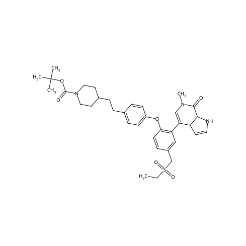 CCS(=O)(=O)Cc1ccc(Oc2ccc(CCC3CCN(C(=O)OC(C)(C)C)CC3)cc2)c(C2=CN(C)C(=O)C3NC=CC23)c1